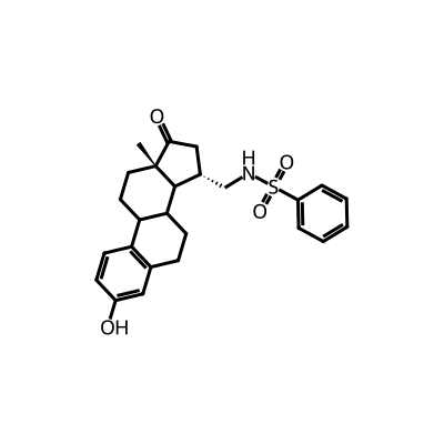 C[C@]12CCC3c4ccc(O)cc4CCC3C1[C@@H](CNS(=O)(=O)c1ccccc1)CC2=O